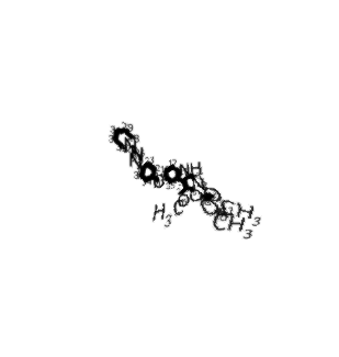 COCc1c(OC(=O)OC(C)C)ncc2[nH]c3ccc(Oc4ccc(N=NN5CCCCC5)cc4)cc3c12